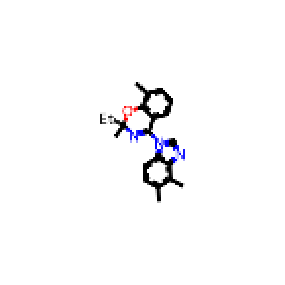 CCC1(C)N=C(n2cnc3c(C)c(C)ccc32)c2cccc(C)c2O1